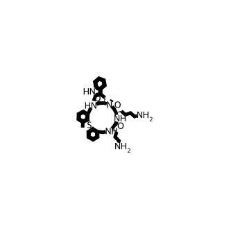 Cc1cccc2c1Sc1ccccc1CN[C@@H](CCCN)C(=O)N[C@@H](CCCCN)C(=O)N(C)[C@@H](Cc1c(C)[nH]c3ccccc13)C(=O)NC2